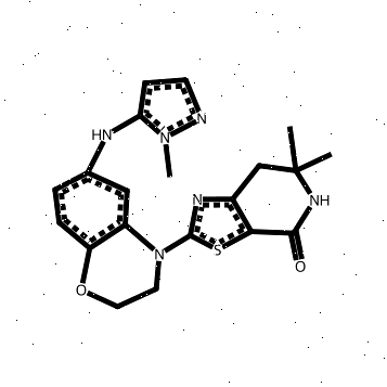 Cn1nccc1Nc1ccc2c(c1)N(c1nc3c(s1)C(=O)NC(C)(C)C3)CCO2